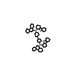 c1ccc2c(c1)cc(N(c1ccc(-c3ccc(N(c4cc5ccccc5c5ccccc45)c4cccc5c4sc4ccccc45)cc3)cc1)c1cccc3c1sc1ccccc13)c1ccccc12